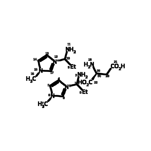 CCC(N)[n+]1ccn(C)c1.CCC(N)[n+]1ccn(C)c1.N[C@@H](CC(=O)O)C(=O)O